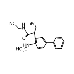 CC(C)CC(C(=O)NCC#N)c1cc(-c2ccccc2)ccc1NC(=O)O